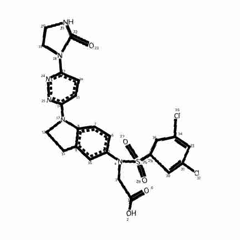 O=C(O)CN(c1ccc2c(c1)CCN2c1ccc(N2CCNC2=O)nn1)S(=O)(=O)C1C=C(Cl)C=C(Cl)C1